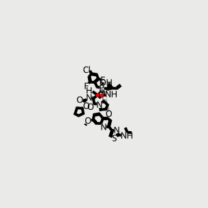 C=CC1C[C@]1(NC(=O)[C@@H]1C[C@@H](Oc2cc(-c3csc(NC(C)C)n3)nc3cc(OC)ccc23)CN1C(=O)[C@@H](NC(=O)OC1CCCC1)C(C)(C)C)P(=O)(O)Cc1c(F)cc(Cl)cc1F